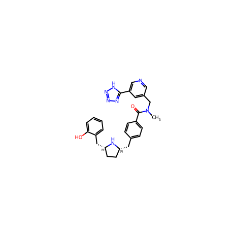 CN(Cc1cncc(-c2nnn[nH]2)c1)C(=O)c1ccc(C[C@@H]2CC[C@H](Cc3ccccc3O)N2)cc1